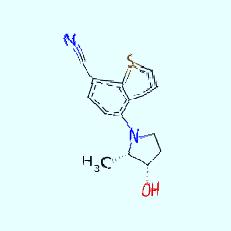 C[C@H]1[C@@H](O)CCN1c1ccc(C#N)c2sccc12